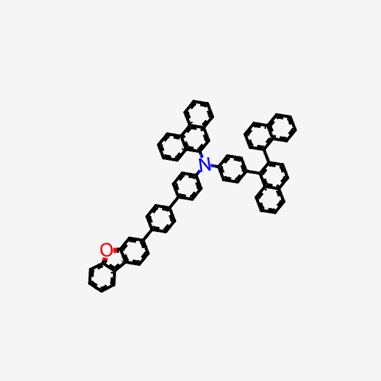 c1ccc2c(-c3ccc4ccccc4c3-c3ccc(N(c4ccc(-c5ccc(-c6ccc7c(c6)oc6ccccc67)cc5)cc4)c4cc5ccccc5c5ccccc45)cc3)cccc2c1